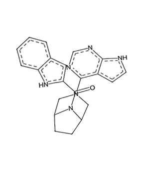 O=C(c1cc2ccccc2[nH]1)N1C2CCC1CN(c1ncnc3[nH]ccc13)C2